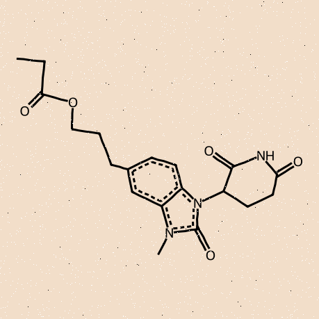 CCC(=O)OCCCc1ccc2c(c1)n(C)c(=O)n2C1CCC(=O)NC1=O